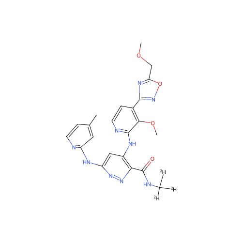 [2H]C([2H])([2H])NC(=O)c1nnc(Nc2cc(C)ccn2)cc1Nc1nccc(-c2noc(COC)n2)c1OC